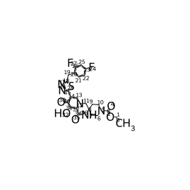 CCOC(=O)N1CCC2(CC1)Cn1cc(-c3nnc(Cc4ccc(F)cc4F)s3)c(=O)c(O)c1C(=O)N2